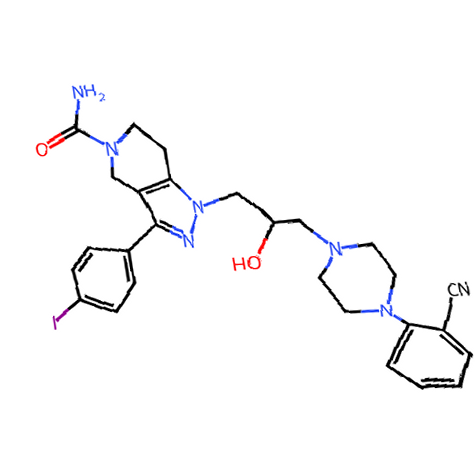 N#Cc1ccccc1N1CCN(CC(O)Cn2nc(-c3ccc(I)cc3)c3c2CCN(C(N)=O)C3)CC1